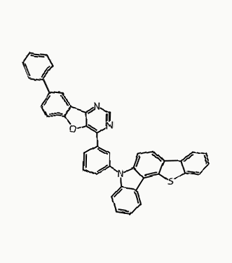 c1ccc(-c2ccc3oc4c(-c5cccc(-n6c7ccccc7c7c8sc9ccccc9c8ccc76)c5)ncnc4c3c2)cc1